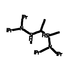 CC(C)N(C(C)C)[SiH](C)C(C)[SiH](C)N(C(C)C)C(C)C